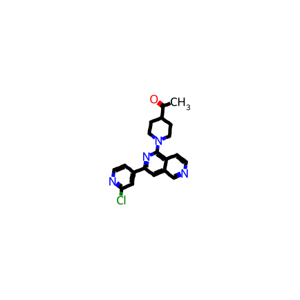 CC(=O)C1CCN(c2nc(-c3ccnc(Cl)c3)cc3cnccc23)CC1